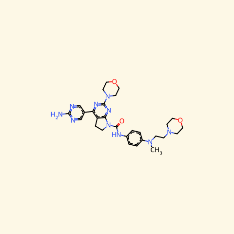 CN(CCN1CCOCC1)c1ccc(NC(=O)N2CCc3c(-c4cnc(N)nc4)nc(N4CCOCC4)nc32)cc1